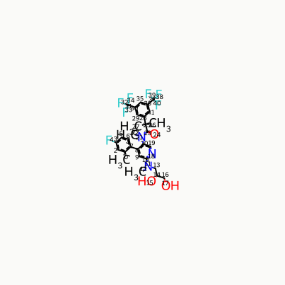 Cc1cc(F)ccc1-c1cc(N(C)CC(O)CO)ncc1N(C)C(=O)C(C)(C)c1cc(C(F)(F)F)cc(C(F)(F)F)c1